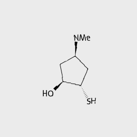 CN[C@@H]1C[C@H](O)[C@@H](S)C1